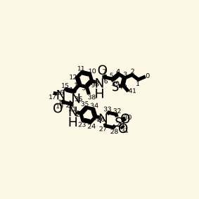 CCCc1cc(C(=O)Nc2cccc(-c3cn(C)c(=O)c(Nc4ccc(N5CCS(=O)(=O)CC5)cc4)n3)c2C)sc1C